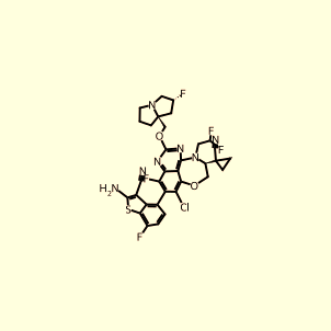 N#Cc1c(N)sc2c(F)ccc(-c3c(Cl)c4c5c(nc(OC[C@@]67CCCN6C[C@H](F)C7)nc5c3F)N(CC(F)F)[C@@H](C3(C#N)CC3)CO4)c12